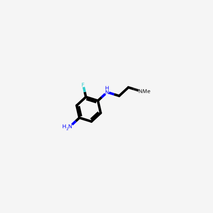 CNCCNc1ccc(N)cc1F